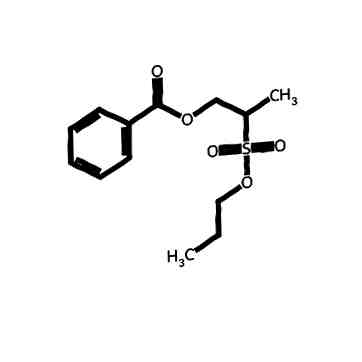 CCCOS(=O)(=O)C(C)COC(=O)c1ccccc1